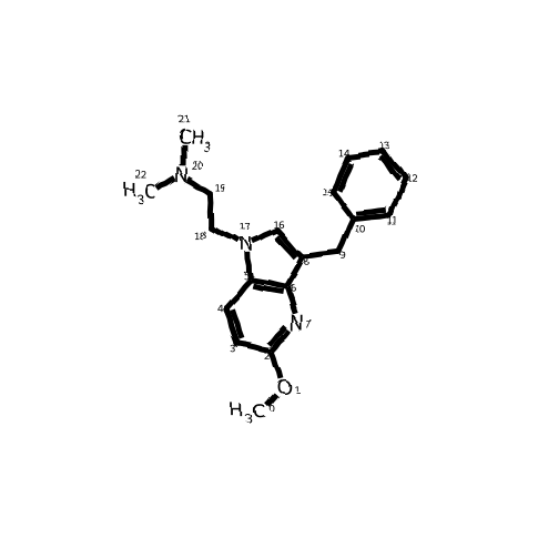 COc1ccc2c(n1)c(Cc1ccccc1)cn2CCN(C)C